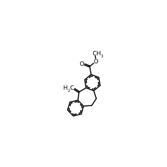 C=C1c2ccccc2CCc2ccc(C(=O)OC)cc21